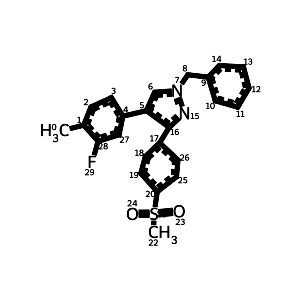 Cc1ccc(-c2cn(Cc3ccccc3)nc2-c2ccc(S(C)(=O)=O)cc2)cc1F